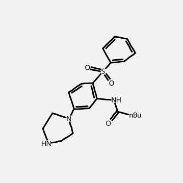 CCCCC(=O)Nc1cc(N2CCNCC2)ccc1S(=O)(=O)c1ccccc1